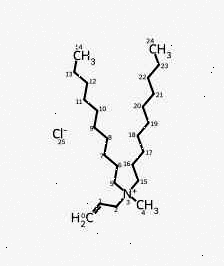 C=CC[N+](C)(CCCCCCCCCC)CCCCCCCCCC.[Cl-]